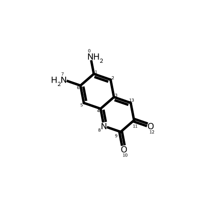 Nc1cc2c(cc1N)=NC(=O)C(=O)C=2